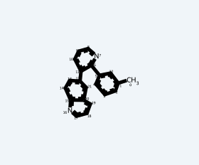 Cc1cccc(-c2ncccc2-c2ccc3ncccc3c2)c1